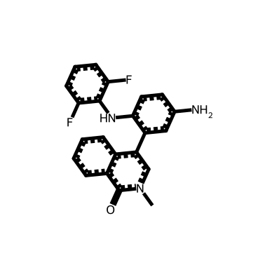 Cn1cc(-c2cc(N)ccc2Nc2c(F)cccc2F)c2ccccc2c1=O